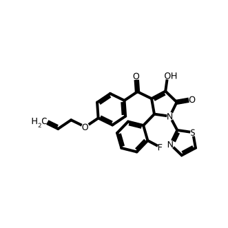 C=CCOc1ccc(C(=O)C2=C(O)C(=O)N(c3nccs3)C2c2ccccc2F)cc1